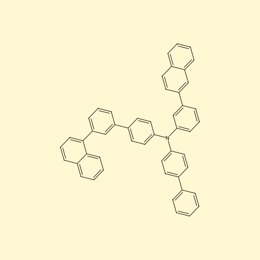 c1ccc(-c2ccc(N(c3ccc(-c4cccc(-c5cccc6ccccc56)c4)cc3)c3cccc(-c4ccc5ccccc5c4)c3)cc2)cc1